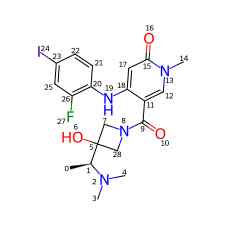 C[C@H](N(C)C)C1(O)CN(C(=O)c2cn(C)c(=O)cc2Nc2ccc(I)cc2F)C1